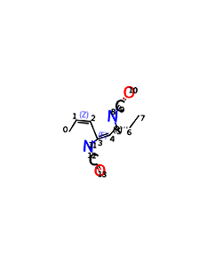 C/C=C\C(=C/[C@@H](CC)N=C=O)N=C=O